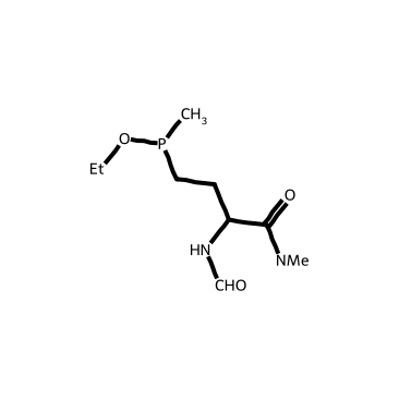 CCOP(C)CCC(NC=O)C(=O)NC